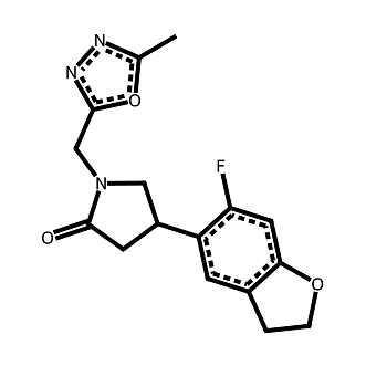 Cc1nnc(CN2CC(c3cc4c(cc3F)OCC4)CC2=O)o1